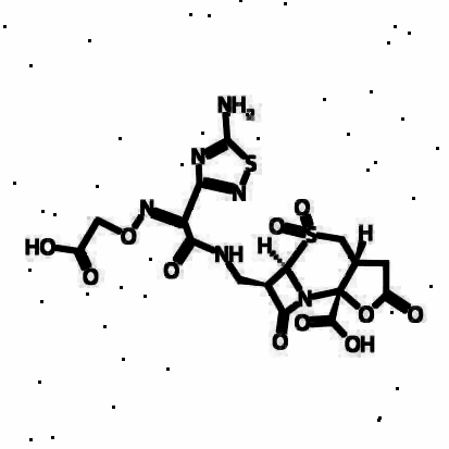 Nc1nc(/C(=N/OCC(=O)O)C(=O)NC[C@@H]2C(=O)N3[C@@H]2S(=O)(=O)C[C@@H]2CC(=O)O[C@@]23C(=O)O)ns1